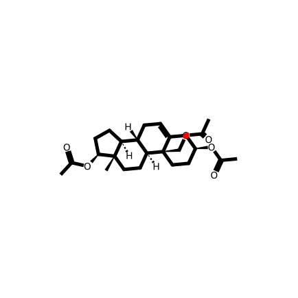 CC(=O)OC[C@]12CC[C@H](OC(C)=O)CC1=CC[C@@H]1[C@@H]2CC[C@]2(C)[C@@H](OC(C)=O)CC[C@@H]12